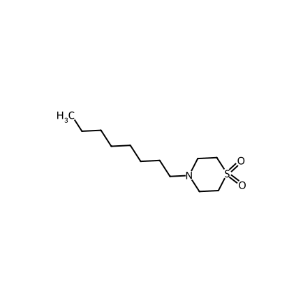 CCCCCCCCN1CCS(=O)(=O)CC1